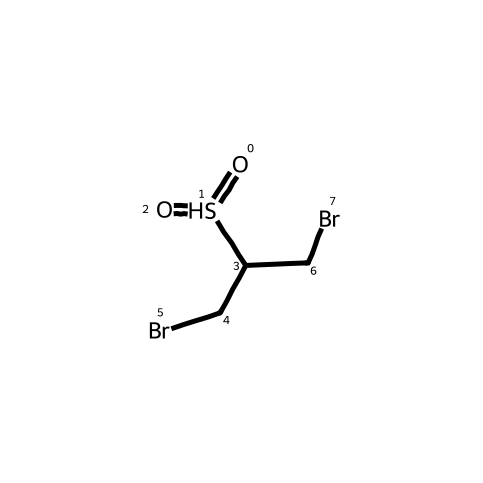 O=[SH](=O)C(CBr)CBr